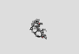 Cc1cc2ccc1Oc1cc3cc(c1)C(NC(=O)C(CC(N)=O)NC(=O)C(NC(=O)C(CC(C)C)N(C)C)C(O)c1ccc(c(C)c1)O3)C(=O)NC1C(=O)NC(C(=O)NC([C](=O)[Rb])c3cc(O)c(C)c(O)c3-c3cc1ccc3O)C2C